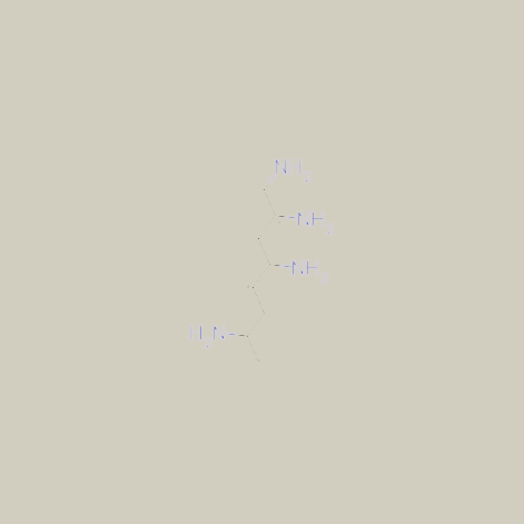 CC(N)CCC(N)CC(N)CN